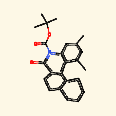 Cc1cc(C)c2c3c(ccc4ccccc43)c(=O)n(C(=O)OC(C)(C)C)c2c1